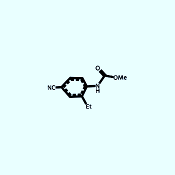 CCc1cc(C#N)ccc1NC(=O)OC